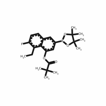 CCc1c(F)ccc2cc(B3OC(C)(C)C(C)(C)O3)cc(OC(=O)C(C)(C)C)c12